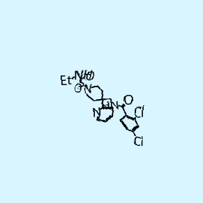 CCNS(=O)(=O)N1CCC(CNC(=O)c2ccc(Cl)cc2Cl)(c2ccccn2)CC1